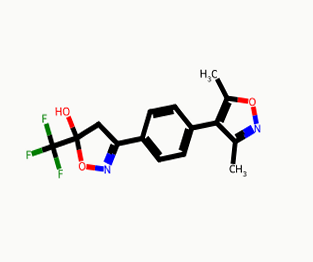 Cc1noc(C)c1-c1ccc(C2=NOC(O)(C(F)(F)F)C2)cc1